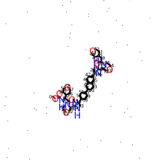 COC(=O)N[C@H](C(=O)N1CCOC[C@H]1c1nc(-c2ccc(-c3ccc4cc(-c5c[nH]c([C@@H]6COCCN6C(=O)CC6CCOCC6)n5)ccc4c3)cc2)c[nH]1)C1CCOCC1